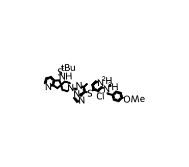 [2H]C([2H])N(Cc1ccc(OC)cc1)c1nccc(Sc2c(C)nc(N3CCC4(CC3)Cc3ncccc3[C@H]4NSC(C)(C)C)n3ccnc23)c1Cl